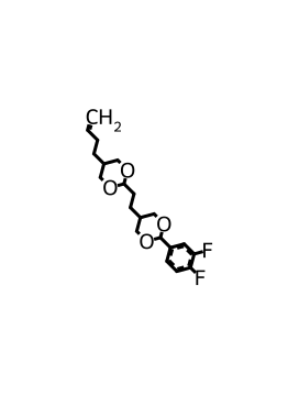 C=CCCC1COC(CCC2COC(c3ccc(F)c(F)c3)OC2)OC1